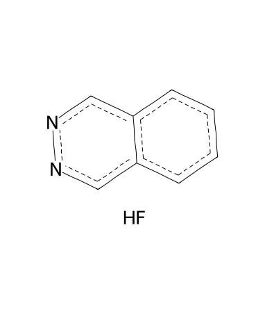 F.c1ccc2cnncc2c1